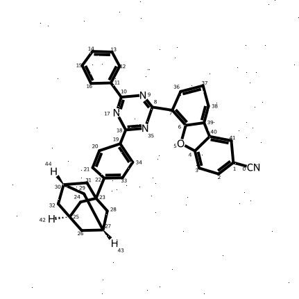 N#Cc1ccc2oc3c(-c4nc(-c5ccccc5)nc(-c5ccc(C67C[C@H]8C[C@@H](C6)C[C@@H](C7)C8)cc5)n4)cccc3c2c1